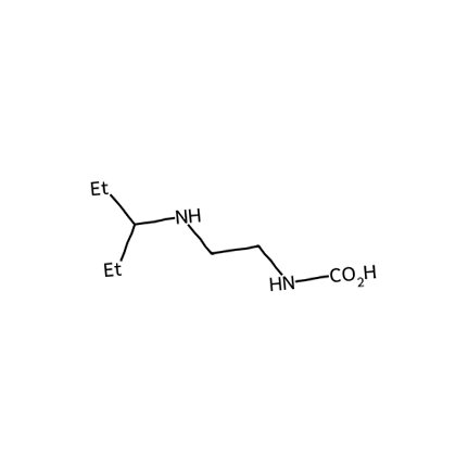 CCC(CC)NCCNC(=O)O